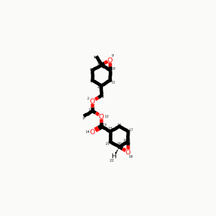 CC(OCC1CCC2(C)OC2C1)OC(=O)C1CCC2O[C@H]2C1